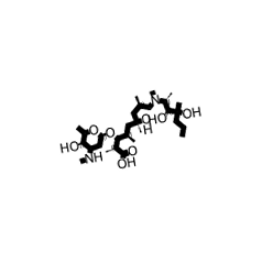 CCCC(C)(O)[C@H](O)[C@@H](C)N(C)C[C@H](C)C[C@@](C)(O)C[C@@H](C)C(O[C@H]1CC(NC)[C@H](O)C(C)O1)[C@@H](C)C(=O)O